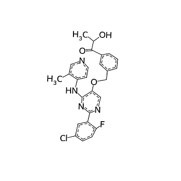 Cc1cnccc1Nc1nc(-c2cc(Cl)ccc2F)ncc1OCc1cccc(C(=O)C(C)O)c1